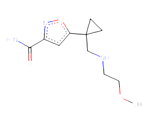 COCCNCC1(c2cc(C(N)=O)no2)CC1